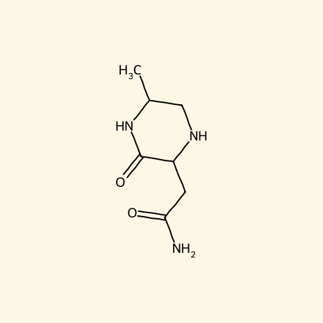 CC1CNC(CC(N)=O)C(=O)N1